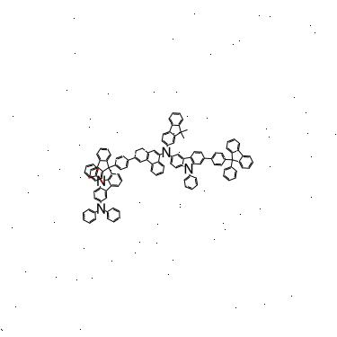 CC1(C)c2ccccc2-c2ccc(N(c3ccc4c(c3)c3ccc(-c5ccc(C6(c7ccccc7)c7ccccc7-c7ccccc76)cc5)cc3n4-c3ccccc3)c3cc4c(c5ccccc35)C=C(c3ccc(C5(c6cccc7c8cc(N(c9ccccc9)c9ccccc9)ccc8n(-c8ccccc8)c67)c6ccccc6-c6ccccc65)cc3)CC4)cc21